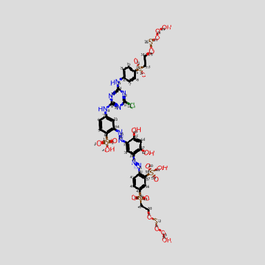 O=S(=O)(O)c1ccc(Nc2nc(Cl)nc(Nc3ccc(S(=O)(=O)CCOSOOO)cc3)n2)cc1/N=N/c1cc(/N=N/c2ccc(S(=O)(=O)CCOSOOO)cc2S(=O)(=O)O)c(O)cc1O